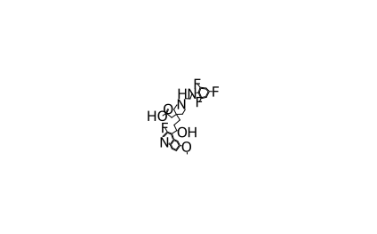 COc1ccc2ncc(F)c([C@H](O)CCC3(CC(=O)O)CCN(CCNc4c(F)cc(F)cc4F)CC3)c2c1